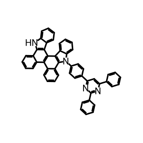 c1ccc(-c2cc(-c3ccc(-n4c5ccccc5c5c6c(c7ccccc7c7[nH]c8ccccc8c76)c6ccccc6c54)cc3)nc(-c3ccccc3)n2)cc1